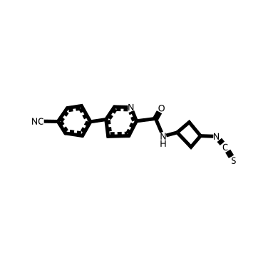 N#Cc1ccc(-c2ccc(C(=O)NC3CC(N=C=S)C3)nc2)cc1